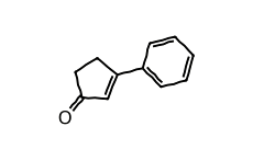 O=C1C=C(c2ccccc2)CC1